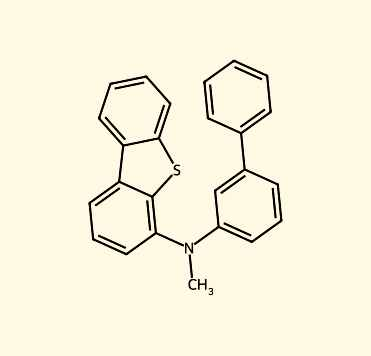 CN(c1cccc(-c2ccccc2)c1)c1cccc2c1sc1ccccc12